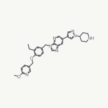 CCc1cc(Cn2cnc3cc(-c4cnn(C5CCNCC5)c4)cnc32)ccc1OCc1ccc(OC)nc1